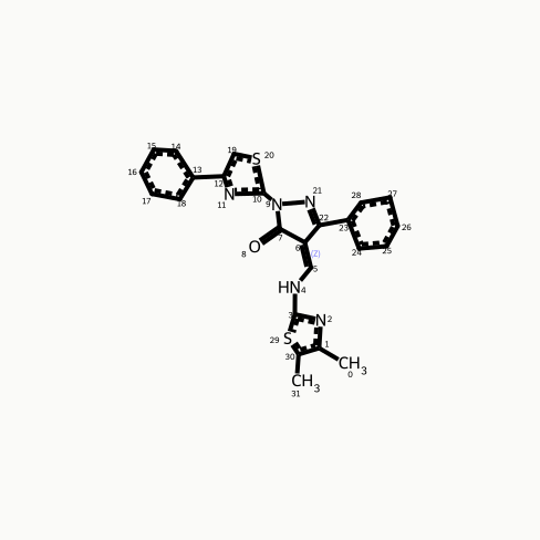 Cc1nc(N/C=C2\C(=O)N(c3nc(-c4ccccc4)cs3)N=C2c2ccccc2)sc1C